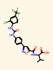 CC(C)C(NC(=O)c1cc(-c2ccc(NC(=O)Nc3ccc(C(F)(F)F)cc3Cl)cc2)no1)C(=O)O